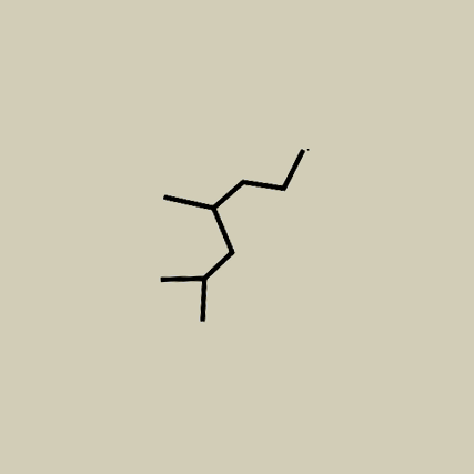 [CH2]CCC(C)CC(C)C